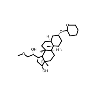 COC[C@H](O)[C@@H]1C[C@H](O)[C@@]2(C)CC[C@H]3[C@@H](CC[C@H]4C[C@H](OC5CCCCO5)C[C@H](C)[C@@]43C)[C@H]12